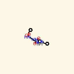 CCCN1C(=O)C(CCCCNC(=O)OCc2ccccc2)NC(=O)C12CCN(CCc1ccccc1)CC2